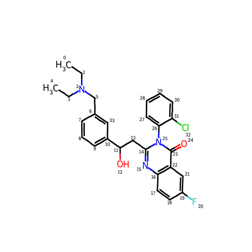 CCN(CC)Cc1cccc(C(O)Cc2nc3ccc(F)cc3c(=O)n2-c2ccccc2Cl)c1